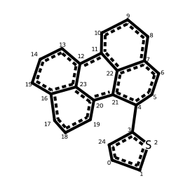 c1csc(-c2ccc3cccc4c5cccc6cccc(c2c34)c65)c1